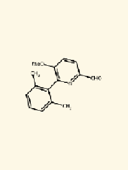 COc1ccc(C=O)nc1-c1c(C)cccc1C